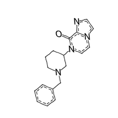 O=c1c2nccn2ccn1C1CCCN(Cc2ccccc2)C1